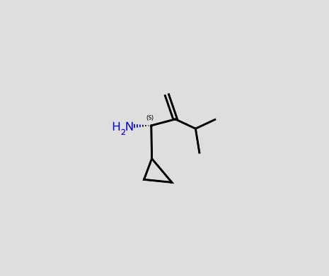 C=C(C(C)C)[C@@H](N)C1CC1